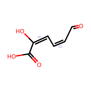 O=C/C=C\C=C(\O)C(=O)O